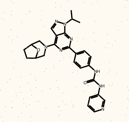 CC(C)n1ncc2c(N3CC4CCC(C3)O4)nc(-c3ccc(NC(=O)Nc4cccnc4)cc3)nc21